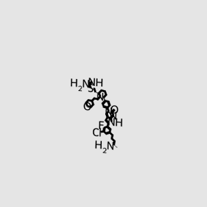 C[C@H](N)CCCc1cc(Cl)c(F)c(-c2cc3cn(-c4ccc([C@@H]5CCC[C@@H](CCSC(=N)N)N5CCC5CCOCC5)cc4)c(=O)nc3[nH]2)c1